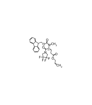 C=CCOC(=O)CC[C@@H](C(=O)N1CC(F)(F)C(F)(F)C1)N(C)C(=O)OCC1c2ccccc2-c2ccccc21